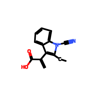 C=C(C(=O)O)c1c(CC)n(C#N)c2ccccc12